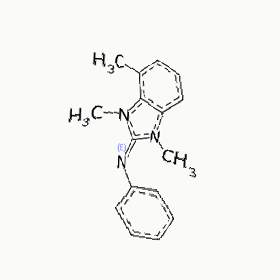 Cc1cccc2c1n(C)/c(=N/c1ccccc1)n2C